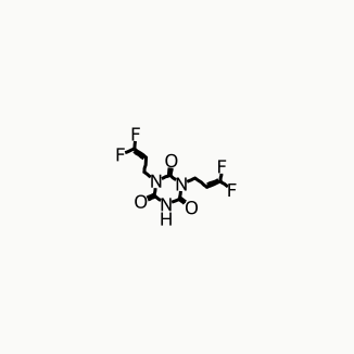 O=c1[nH]c(=O)n(CC=C(F)F)c(=O)n1CC=C(F)F